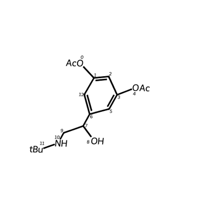 CC(=O)Oc1cc(OC(C)=O)cc(C(O)CNC(C)(C)C)c1